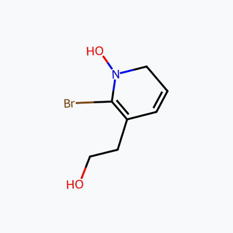 OCCC1=C(Br)N(O)CC=C1